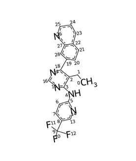 CCc1c(Nc2ccc(C(F)(F)F)cn2)ncnc1-c1ccc2cccnc2c1